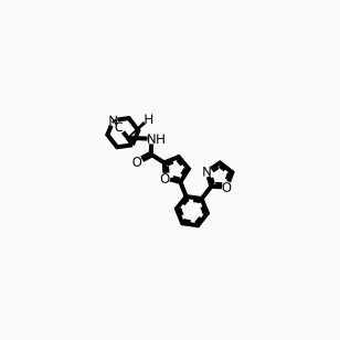 O=C(N[C@H]1CN2CCC1CC2)c1ccc(-c2ccccc2-c2ncco2)o1